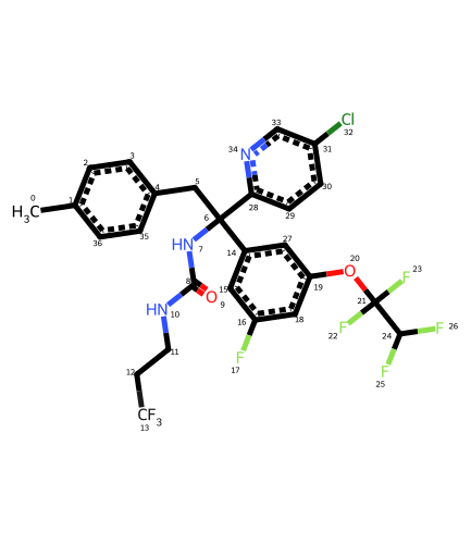 Cc1ccc(CC(NC(=O)NCCC(F)(F)F)(c2cc(F)cc(OC(F)(F)C(F)F)c2)c2ccc(Cl)cn2)cc1